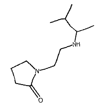 CC(C)C(C)NCCN1CCCC1=O